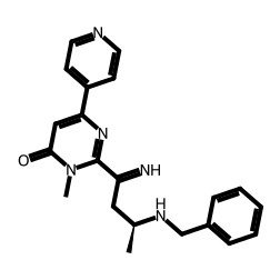 C[C@@H](CC(=N)c1nc(-c2ccncc2)cc(=O)n1C)NCc1ccccc1